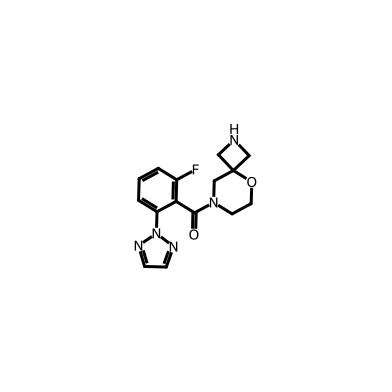 O=C(c1c(F)cccc1-n1nccn1)N1CCOC2(CNC2)C1